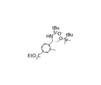 CCOC(=O)c1ccc([C@@H](CO[Si](C)(C)C(C)(C)C)N[S@@+]([O-])C(C)(C)C)c(C)c1